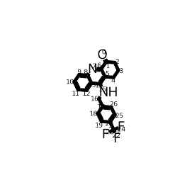 O=C1CCCc2c1nc1ccccc1c2NCc1ccc(C(F)(F)F)cc1